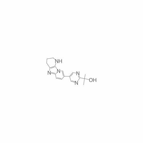 CC(C)(O)c1ncc(-c2ccc3nc4c(n3c2)NCCC4)cn1